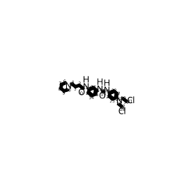 O=C(CCCN1CCCCC1)Nc1cccc(NC(=O)Nc2ccc(N(CCCl)CCCl)cc2)c1